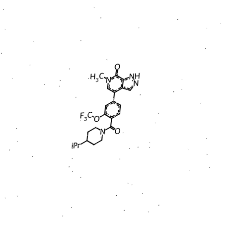 CC(C)C1CCN(C(=O)c2ccc(-c3cn(C)c(=O)c4[nH]ncc34)cc2OC(F)(F)F)CC1